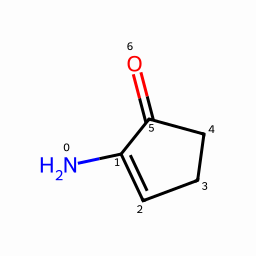 NC1=CCCC1=O